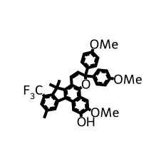 COc1ccc(C2(c3ccc(OC)cc3)C=Cc3c4c(c5cc(O)c(OC)cc5c3O2)-c2cc(C)cc(C(F)(F)F)c2C4(C)C)cc1